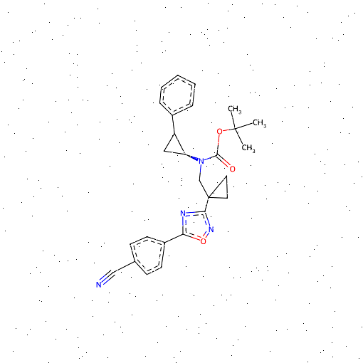 CC(C)(C)OC(=O)N(CC1(c2noc(-c3ccc(C#N)cc3)n2)CC1)[C@H]1CC1c1ccccc1